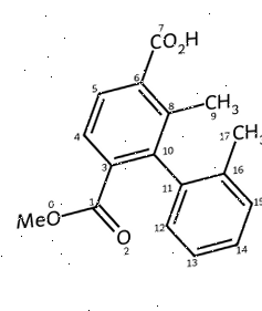 COC(=O)c1ccc(C(=O)O)c(C)c1-c1ccccc1C